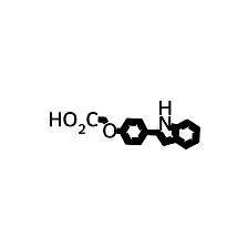 O=C(O)COc1ccc(-c2cc3ccccc3[nH]2)cc1